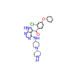 O=C(c1ccc(Oc2ccccc2)cc1Cl)c1c[nH]c2ncnc(NC3CCN(C4CCNCC4)CC3)c12